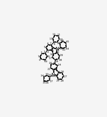 c1ccc(-c2ccc(-c3ccccc3)c3c2c2cc(-c4ccc5c(c4)c4ccccc4n5-c4ccccc4)ccc2n3-c2ccccc2)cc1